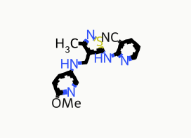 COc1ccc(NCc2c(C)nsc2Nc2ncccc2C#N)cn1